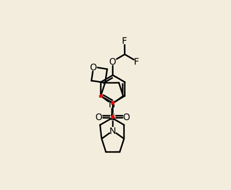 O=S(=O)(c1ccc(OC(F)F)cc1)N1C2CCC1CC(N1CCC3(COC3)C1)C2